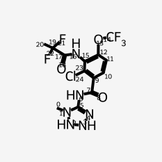 CN1NNN=C1NC(=O)c1ccc(OC(F)(F)F)c(NC(=O)C(C)(F)F)c1Cl